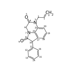 C=CCN1C(=O)CN2C(=O)C(c3ccccc3)c3cccc1c32